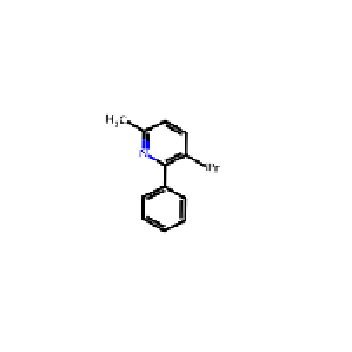 Cc1ccc(C(C)C)c(-c2ccccc2)n1